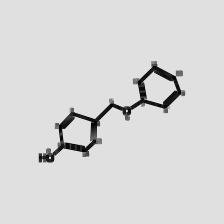 Oc1ccc(COc2[c]cccc2)cc1